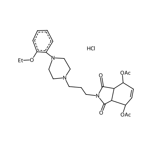 CCOc1ccccc1N1CCN(CCCN2C(=O)C3C(OC(C)=O)C=CC(OC(C)=O)C3C2=O)CC1.Cl